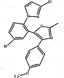 CCc1ccn(-c2ccc(Br)cc2-c2oc(C)nc2-c2ccc(OC(F)(F)F)cc2)n1